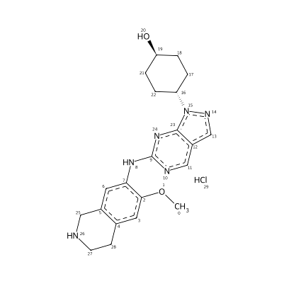 COc1cc2c(cc1Nc1ncc3cnn([C@H]4CC[C@H](O)CC4)c3n1)CNCC2.Cl